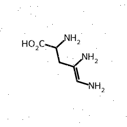 NC=C(N)CC(N)C(=O)O